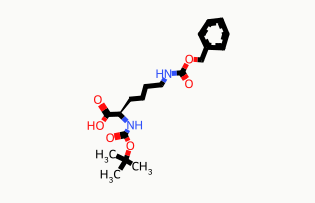 CC(C)(C)OC(=O)N[C@H](CCCCNC(=O)OCc1ccccc1)C(=O)O